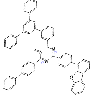 C=N/C(=N\C(=N/Cc1cccc(-c2cc(-c3ccccc3)cc(-c3ccccc3)c2)c1)c1ccc(-c2cccc3c2oc2ccccc23)cc1)c1ccc(-c2ccccc2)cc1